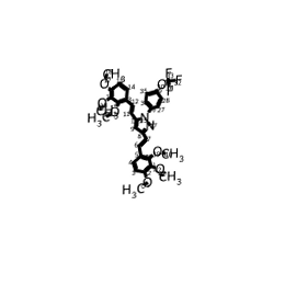 COc1ccc(/C=C/c2cc(/C=C/c3ccc(OC)c(OC)c3OC)n(-c3ccc(OC(F)(F)F)cc3)n2)c(OC)c1OC